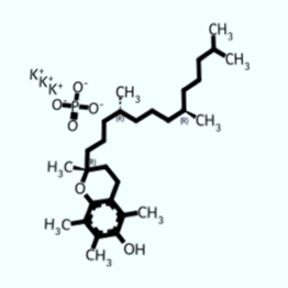 Cc1c(C)c2c(c(C)c1O)CC[C@@](C)(CCC[C@H](C)CCC[C@H](C)CCCC(C)C)O2.O=P([O-])([O-])[O-].[K+].[K+].[K+]